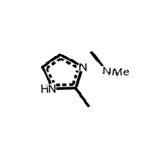 CNC.Cc1ncc[nH]1